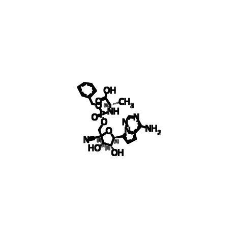 C[C@H](NP(=O)(OCc1ccccc1)OC[C@@]1(C#N)O[C@@H](c2ccc3c(N)ncnn23)[C@H](O)[C@@H]1O)C(=O)O